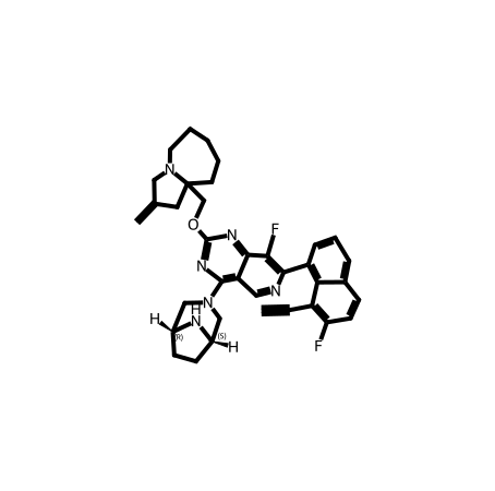 C#Cc1c(F)ccc2cccc(-c3ncc4c(N5C[C@H]6CC[C@@H](C5)N6)nc(OCC56CCCCCN5CC(=C)C6)nc4c3F)c12